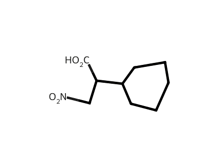 O=C(O)C(C[N+](=O)[O-])C1CCCCC1